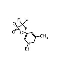 CCN1C=CC=C(C)C1.O=S(=O)(O)C(F)(F)F